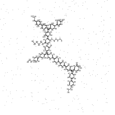 CCCCCCc1cc(-c2ccc(N(c3ccc(-c4ccc(CCC)cc4)cc3)c3ccc(-c4ccc(-c5ccc(-c6ccc(N(c7ccc(-c8ccc(CCC)cc8)cc7)c7ccc(C)c(C)c7)cc6)cc5)cc4)cc3)cc2C)c(CCCCCC)cc1-c1ccc(N(c2ccc(-c3ccc(C)cc3)cc2)c2ccc(-c3ccc(CCC)cc3)cc2)cc1C